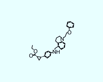 CCOC(=O)[C@@H]1C[C@@H]1c1ccc(NCc2cccc3c2CCCN3CCOc2ccccc2)cc1